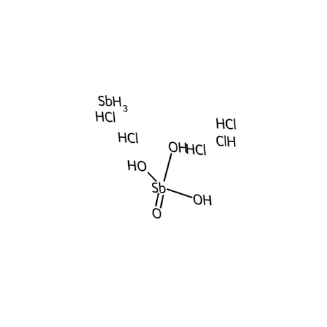 Cl.Cl.Cl.Cl.Cl.[O]=[Sb]([OH])([OH])[OH].[SbH3]